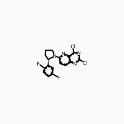 Fc1ccc(F)c([C@H]2CCCN2c2ccc3nc(Cl)nc(Cl)c3n2)c1